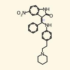 O=C1Nc2ccc([N+](=O)[O-])cc2/C1=C(/Nc1ccc(CCN2CCCCC2)cc1)c1ccccc1